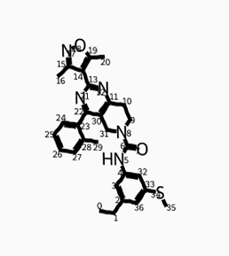 CCc1cc(NC(=O)N2CCc3nc(-c4c(C)noc4C)nc(-c4ccccc4C)c3C2)cc(SC)c1